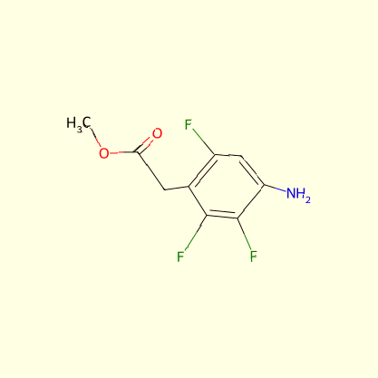 COC(=O)Cc1c(F)cc(N)c(F)c1F